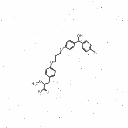 COC(Cc1ccc(OCCCOc2ccc(C(O)c3ccc(F)cc3)cc2)cc1)C(=O)O